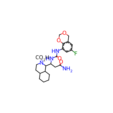 NC(=O)CC(NC(=O)Nc1cc(F)cc2c1OCOC2)C1C2CCCCC2CCN1C(=O)O